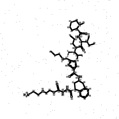 CCCO[C@H](C[C@H](C(C)C)N(CCC)C(=O)[C@@H](NC(=O)[C@H]1CCCCN1C)[C@@H](C)CC)c1nc(C(=O)NC2Cc3ccccc3[C@H](C(=O)NNC(=O)OCCOCCN)C2)cs1